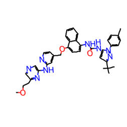 COCCc1cncc(Nc2cc(COc3ccc(NC(=O)Nc4cc(C(C)(C)C)nn4-c4ccc(C)cc4)c4ccccc34)ccn2)n1